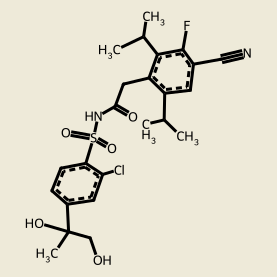 CC(C)c1cc(C#N)c(F)c(C(C)C)c1CC(=O)NS(=O)(=O)c1ccc(C(C)(O)CO)cc1Cl